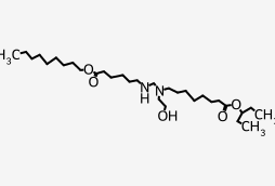 CCCCCCCCCOC(=O)CCCCCNCN(CCO)CCCCCCCC(=O)OC(CC)CC